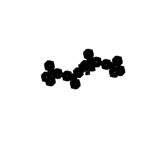 C=C/C=C(\C=C/CN(c1ccccc1)c1ccc(-c2ccc(N(c3ccccc3)c3ccc(-c4ccc(N(c5ccccc5)c5cccc6ccccc56)cc4)cc3)cc2)cc1)c1ccc(N(c2ccccc2)c2cccc3ccccc23)cc1